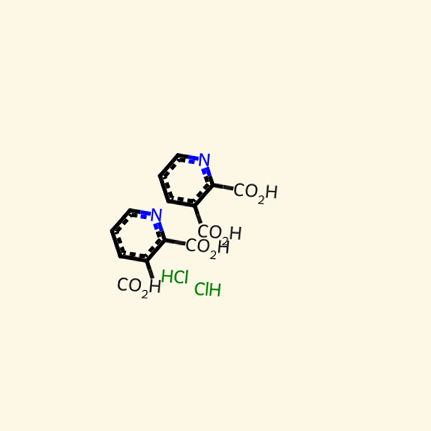 Cl.Cl.O=C(O)c1cccnc1C(=O)O.O=C(O)c1cccnc1C(=O)O